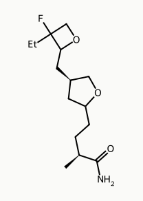 CCC1(F)COC1C[C@H]1COC(CC[C@H](C)C(N)=O)C1